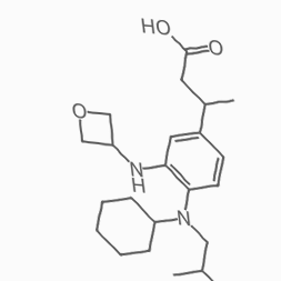 CC(C)CN(c1ccc(C(C)CC(=O)O)cc1NC1COC1)C1CCCCC1